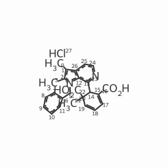 Cc1c(C)n(Cc2ccccc2)c2c(C3C(C(=O)O)=CC=CC3(C)C(=O)O)nccc12.Cl